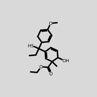 CCOC(=O)C1(C)C=C(C(S)(CC)C2C=CC(OC)=CC2)C=CC1O